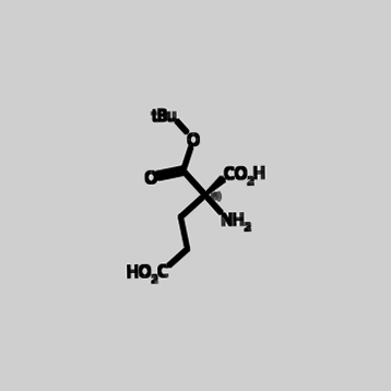 CC(C)(C)OC(=O)[C@](N)(CCC(=O)O)C(=O)O